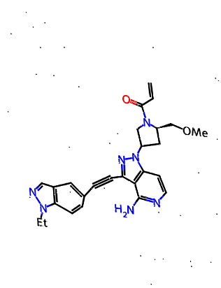 C=CC(=O)N1CC(n2nc(C#Cc3ccc4c(cnn4CC)c3)c3c(N)nccc32)C[C@@H]1COC